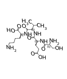 CC(C)[C@H](NC(=O)[C@H](CCC(=O)O)NC(=O)[C@@H](N)CO)C(=O)N[C@@H](CCCCN)C(=O)O